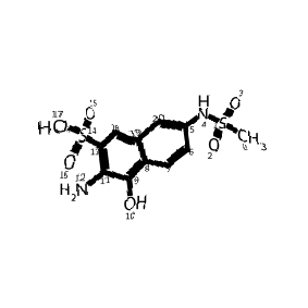 CS(=O)(=O)Nc1ccc2c(O)c(N)c(S(=O)(=O)O)cc2c1